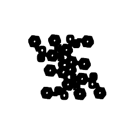 O=C(OCc1ccccc1)c1ccc2c(c1)N(c1ccccc1)c1cc(C(=O)OCc3ccccc3)cc3c1B2c1cc2c(-c4ccccc4)cc4c5c(cc6c(-c7ccccc7)cc-3c1c6c25)B1c2ccc(C(=O)OCc3ccccc3)cc2N(c2ccccc2)c2cc(C(=O)OCc3ccccc3)cc-4c21